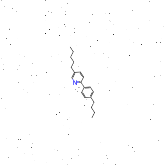 CCCCCc1ccc(-c2ccc(CCCC)cc2)nc1